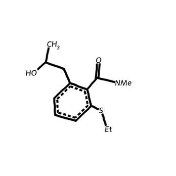 CCSc1cccc(CC(C)O)c1C(=O)NC